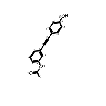 CC(=O)Oc1cccc(C#Cc2ccc(O)cc2)c1